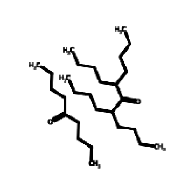 CCCCC(=O)CCCC.CCCCC(CCCC)C(=O)C(CCCC)CCCC